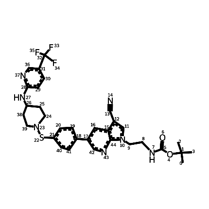 CC(C)(C)OC(=O)NCCn1cc(C#N)c2cc(-c3ccc(SN4CCC(Nc5ccc(C(F)(F)F)cn5)CC4)cc3)cnc21